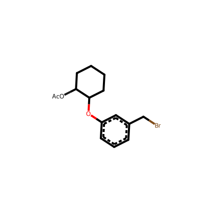 CC(=O)OC1CCCCC1Oc1cccc(CBr)c1